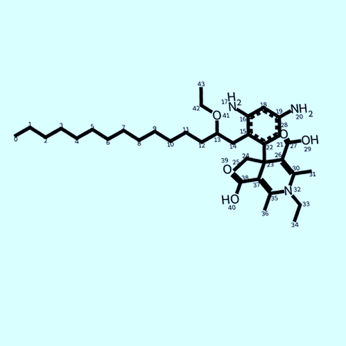 CCCCCCCCCCCCCC(Cc1c(N)cc(N)cc1C1(CC)C(C(=O)O)=C(C)N(CC)C(C)=C1C(=O)O)OCC